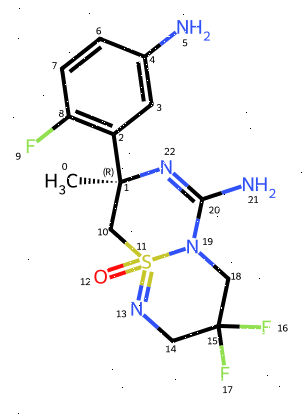 C[C@@]1(c2cc(N)ccc2F)CS2(=O)=NCC(F)(F)CN2C(N)=N1